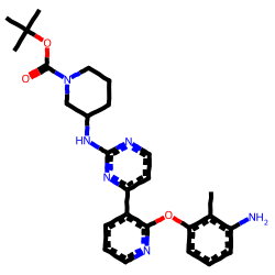 Cc1c(N)cccc1Oc1ncccc1-c1ccnc(NC2CCCN(C(=O)OC(C)(C)C)C2)n1